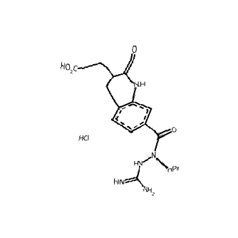 CCCN(NC(=N)N)C(=O)c1ccc2c(c1)NC(=O)C(CC(=O)O)C2.Cl